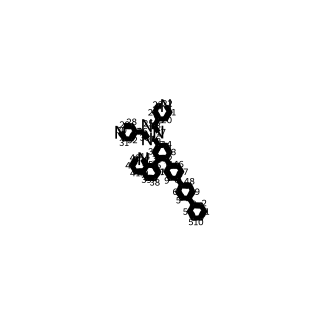 c1ccc(-c2ccc(-c3ccc(-c4ccc(-c5nc(-c6ccncc6)nc(-c6ccncc6)n5)cc4-c4cccc5cccnc45)cc3)cc2)cc1